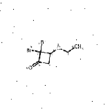 CCOC1CC(=O)C1(Br)Br